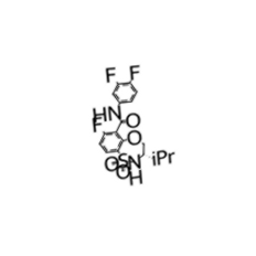 CC(C)[C@H]1COc2c(ccc(F)c2C(=O)Nc2ccc(F)c(F)c2)S(=O)(=O)N1